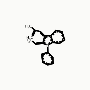 C=C(C)/C=c1\c(=C/C)n(-c2ccccc2)c2ccccc12